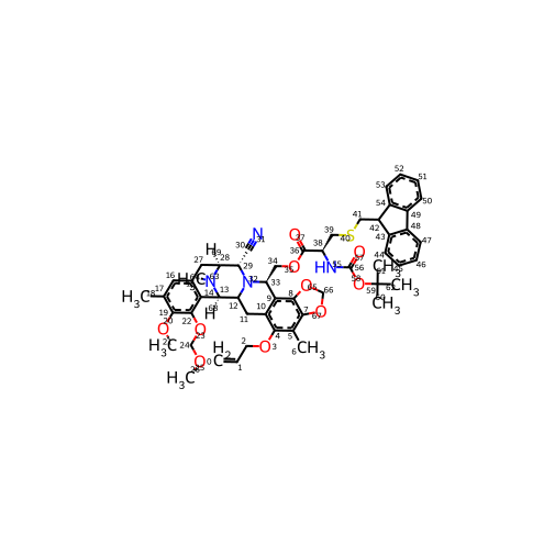 C=CCOc1c(C)c2c(c3c1CC1[C@H]4c5c(cc(C)c(OC)c5OCOC)C[C@@H]([C@H](C#N)N1[C@H]3COC(=O)[C@@H](CSCC1c3ccccc3-c3ccccc31)NC(=O)OC(C)(C)C)N4C)OCO2